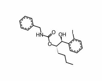 CCCC[C@H](OC(=O)NCc1ccccc1)[C@@H](O)c1ccccc1I